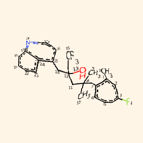 Cc1cc(F)ccc1C(C)(C)CC(O)(Cc1ccnc2ccccc12)C(F)(F)F